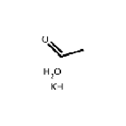 CC=O.O.[KH]